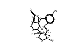 CC(=O)c1ccc2c(c1)C[C@]13CCC(=O)C=C1CC[C@@H]1[C@@H]3[C@@H]2C[C@]2(C)[C@@H](O)CC[C@@H]12